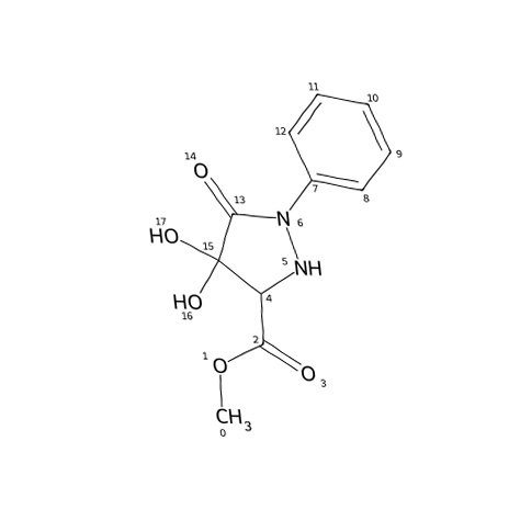 COC(=O)C1NN(c2ccccc2)C(=O)C1(O)O